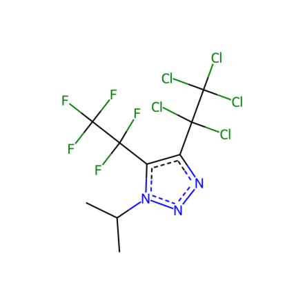 CC(C)n1nnc(C(Cl)(Cl)C(Cl)(Cl)Cl)c1C(F)(F)C(F)(F)F